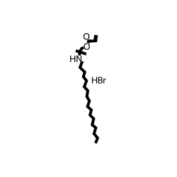 Br.C=CC(=O)OCC(C)(C)NCCCCCCCCCCCCCCCCCC